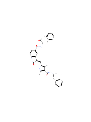 COC(=O)[C@H](Cc1ccccc1)NC(=O)c1ccc2c(c1)/C(=C/c1[nH]c(C)c(C(=O)N[C@H](Cc3ccccc3)C(=O)O)c1C)C(=O)N2